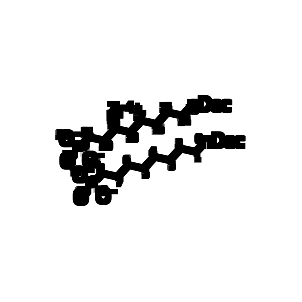 CCCCCCCCCCCCCCCCCCP(=O)([O-])[O-].CCCCCCCCCCCCCCCCCCP(=O)([O-])[O-].[Zr+4]